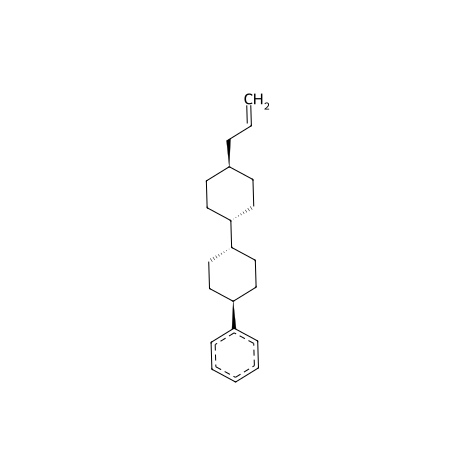 C=CC[C@H]1CC[C@H]([C@H]2CC[C@H](c3ccccc3)CC2)CC1